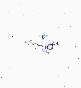 CCCCCC(N)[n+]1ccn(C)c1.F[B-](F)(F)F